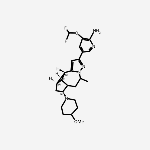 COC1CCN([C@H]2C[C@H]3[C@@H]4c5cc(-c6cnc(N)c(OC(F)F)c6)nn5C(C)CC2[C@@H]34)CC1